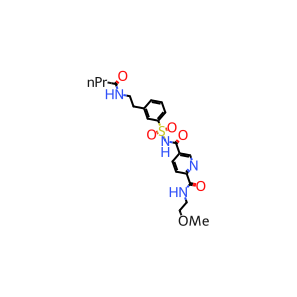 CCCC(=O)NCCc1cccc(S(=O)(=O)NC(=O)c2ccc(C(=O)NCCOC)nc2)c1